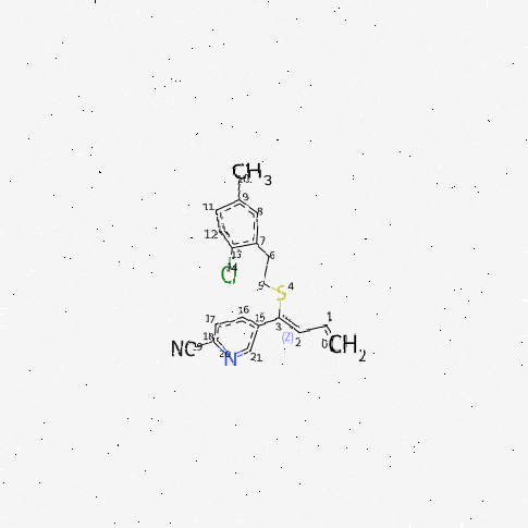 C=C/C=C(\SCCc1cc(C)ccc1Cl)c1ccc(C#N)nc1